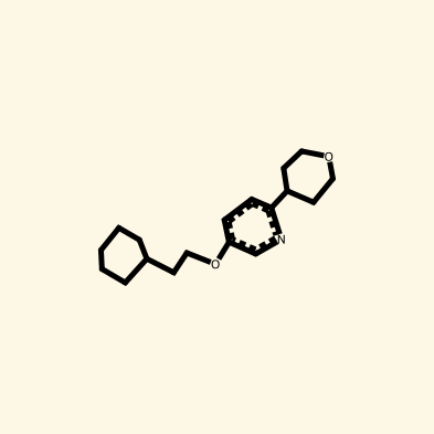 c1cc(C2CCOCC2)ncc1OCCC1CCCCC1